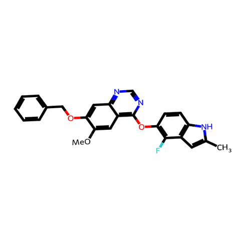 COc1cc2c(Oc3ccc4[nH]c(C)cc4c3F)ncnc2cc1OCc1ccccc1